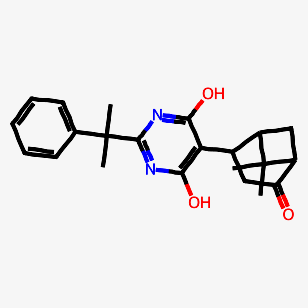 CC(C)(c1ccccc1)c1nc(O)c(C2CC(=O)C3CC2C3(C)C)c(O)n1